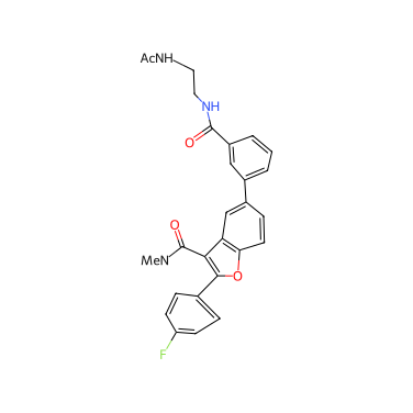 CNC(=O)c1c(-c2ccc(F)cc2)oc2ccc(-c3cccc(C(=O)NCCNC(C)=O)c3)cc12